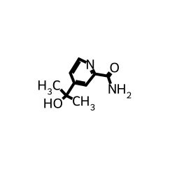 CC(C)(O)c1ccnc(C(N)=O)c1